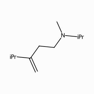 C=C(CCN(C)C(C)C)C(C)C